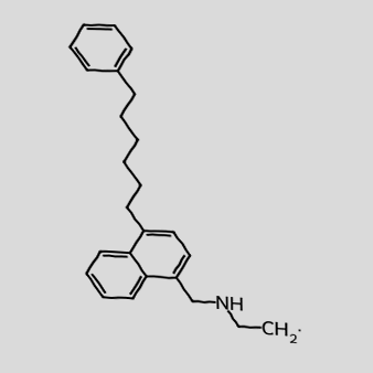 [CH2]CNCc1ccc(CCCCCCc2ccccc2)c2ccccc12